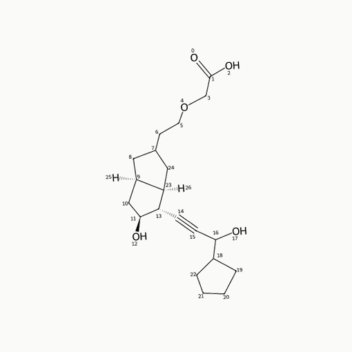 O=C(O)COCCC1C[C@@H]2C[C@H](O)[C@@H](C#CC(O)C3CCCC3)[C@@H]2C1